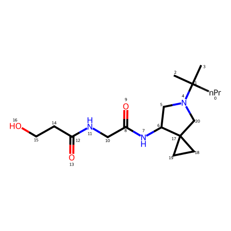 CCCC(C)(C)N1CC(NC(=O)CNC(=O)CCO)C2(CC2)C1